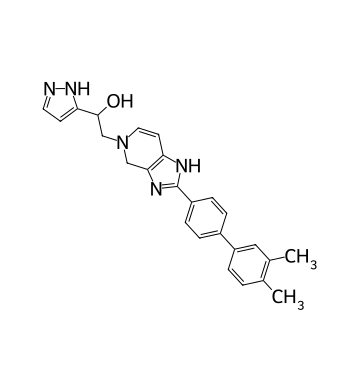 Cc1ccc(-c2ccc(-c3nc4c([nH]3)C=CN(CC(O)c3ccn[nH]3)C4)cc2)cc1C